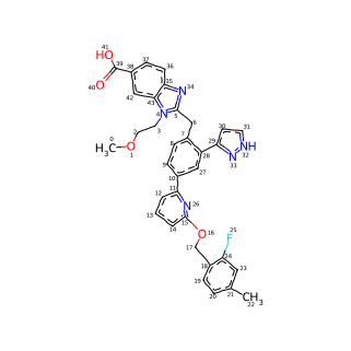 COCCn1c(Cc2ccc(-c3cccc(OCc4ccc(C)cc4F)n3)cc2-c2cc[nH]n2)nc2ccc(C(=O)O)cc21